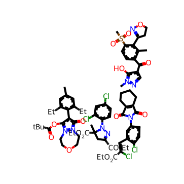 CCOC(=O)/C(Cl)=C/c1cc(N2C(=O)C3=C(CCCC3)C2=O)ccc1Cl.CCOC(=O)C1=NN(c2ccc(Cl)cc2Cl)C(C)(C(=O)OCC)C1.CCc1cc(C)cc(CC)c1-c1c(OC(=O)C(C)(C)C)n2n(c1=O)CCOCC2.Cc1c(C(=O)c2cnn(C)c2O)ccc(S(C)(=O)=O)c1C1=NOCC1